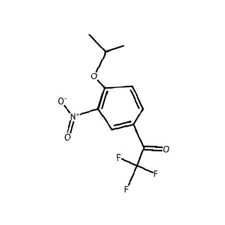 CC(C)Oc1ccc(C(=O)C(F)(F)F)cc1[N+](=O)[O-]